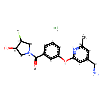 Cl.NCc1cc(Oc2cccc(C(=O)N3CC(O)C(F)C3)c2)nc(C(F)(F)F)c1